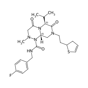 CC(C)[C@H]1C(=O)N(CCC2CC=CS2)C[C@H]2N1C(=O)CN(C)N2C(=O)NCc1ccc(F)cc1